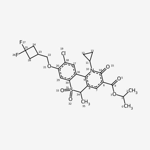 CC(C)OC(=O)c1cc2c(n(C3CC3)c1=O)-c1cc(Cl)c(OCC3CC(F)(F)C3)cc1S(=O)(=O)C2C